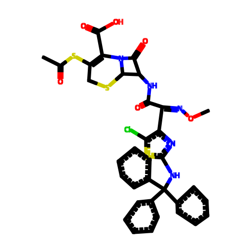 CON=C(C(=O)NC1C(=O)N2C(C(=O)O)=C(SC(C)=O)CSC12)c1nc(NC(c2ccccc2)(c2ccccc2)c2ccccc2)sc1Cl